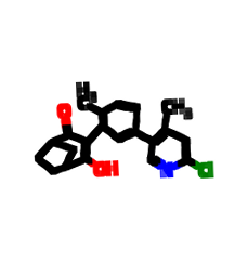 Cc1ccc(-c2cnc(Cl)cc2C)cc1C1=C(O)C2CCC(C2)C1=O